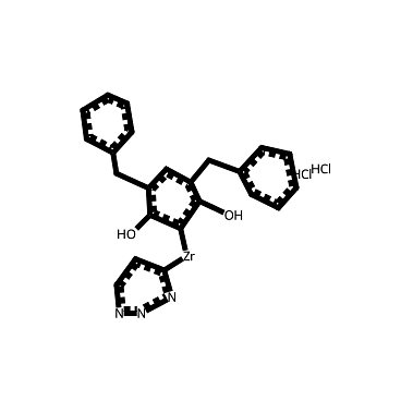 Cl.Cl.Oc1c(Cc2ccccc2)cc(Cc2ccccc2)c(O)[c]1[Zr][c]1ccnnn1